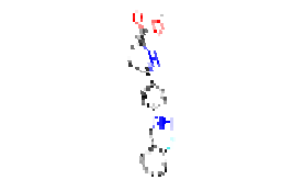 COC(=O)[C@@H]1CCC(c2ccc(NCc3ccccc3F)cc2)=N1